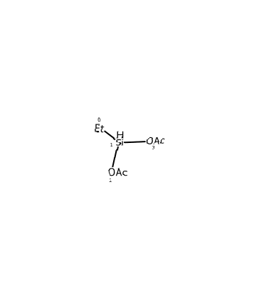 CC[SiH](OC(C)=O)OC(C)=O